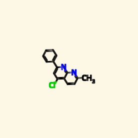 Cc1ccc2c(Cl)cc(-c3ccccc3)nc2n1